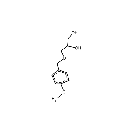 COc1ccc(COCC(O)CO)cc1